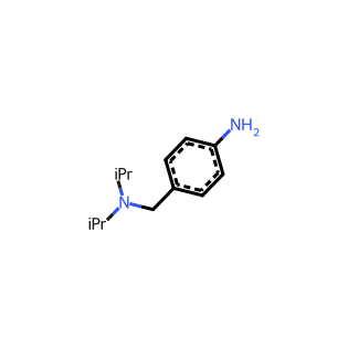 CC(C)N(Cc1ccc(N)cc1)C(C)C